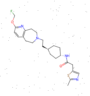 Cc1ncc(CC(=O)N[C@H]2CC[C@H](CCN3CCc4ccc(OCF)nc4CC3)CC2)s1